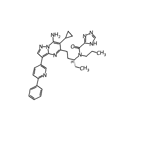 CCCN(C(=O)c1nnc[nH]1)[C@H](CC)CCc1nc2c(-c3ccc(-c4ccccc4)nc3)cnn2c(N)c1C1CC1